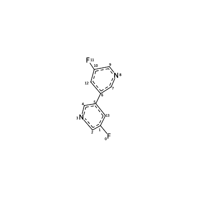 Fc1cncc(-c2cncc(F)c2)c1